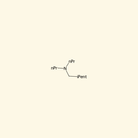 CCCC(C)CN(CCC)CCC